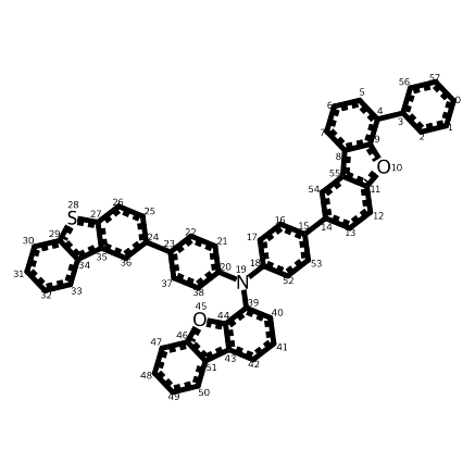 c1ccc(-c2cccc3c2oc2ccc(-c4ccc(N(c5ccc(-c6ccc7sc8ccccc8c7c6)cc5)c5cccc6c5oc5ccccc56)cc4)cc23)cc1